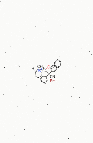 C[N+]1(CCOCc2ccccc2)[C@H]2CCC[C@]1(CC(C#N)(c1ccccc1)c1ccccc1)CC2.[Br-]